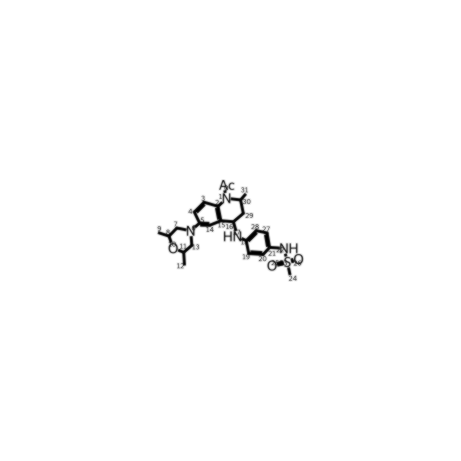 CC(=O)N1c2ccc(N3CC(C)OC(C)C3)cc2C(Nc2ccc(NS(C)(=O)=O)cc2)CC1C